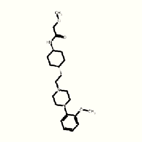 COCC(=O)N[C@H]1CC[C@H](CCN2CCN(c3ccccc3OC)CC2)CC1